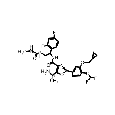 CNC(=O)NCC(NC(=O)c1nc(-c2ccc(OC(F)F)c(OCC3CC3)c2)oc1[C@H](C)N)c1ccc(F)cc1F